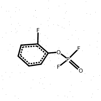 O=P(F)(F)Oc1ccccc1F